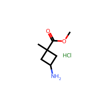 COC(=O)C1(C)CC(N)C1.Cl